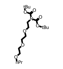 CCCOCCOCCOCCN(C(=O)OC(C)(C)C)C(=O)OC(C)(C)C